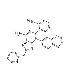 N#Cc1ccccc1-c1nc(N)c2nn(Cc3ccccn3)nc2c1-c1ccc2ncccc2c1